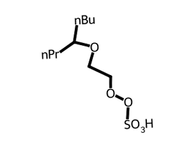 CCCCC(CCC)OCCOOS(=O)(=O)O